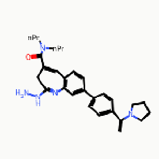 C=C(c1ccc(-c2ccc3c(c2)N=C(NN)CC(C(=O)N(CCC)CCC)=C3)cc1)N1CCCC1